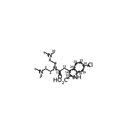 CN(C)CCN(CCN(C)C)C(=O)Cc1c(C(=O)O)[nH]c2cc(Cl)ccc12